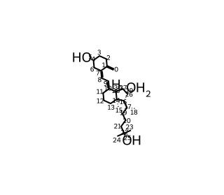 C=C1CC[C@H](O)C/C1=C/C=C1\CCC[C@]2(C)[C@@H]([C@H](C)CCCC(C)(C)O)CC[C@@H]12.O